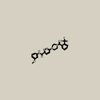 COc1cccc(NC(=O)c2ccc(N3CCN(C(=O)c4ccccc4C(F)(F)F)CC3)nn2)c1